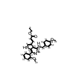 CCOC(=O)/C=C/c1c[nH]c2c(-c3ccccc3OC)nnc(NCc3ccc(OC)cc3)c12